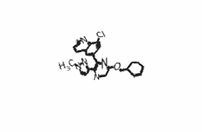 Cn1ccc(-c2ncc(OCC3CCCCC3)nc2-c2cc(Cl)c3ncccc3c2)n1